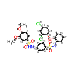 COc1ccc(S(=O)(=O)Nc2ccc(S(=O)(=O)Nc3ccccc3Oc3ccc(Cl)cc3Cl)cc2)cc1OC